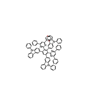 c1ccc(-c2cc(-c3ccccc3)nc(-c3c(-c4ccc5c(c4)c4ccccc4n5-c4ccccc4)cc(-c4ccc5c(c4)c4ccccc4n5-c4ccccc4)c(-c4nc(-c5ccccc5)cc(-c5ccccc5)n4)c3-c3ccc4c(c3)c3ccccc3n4-c3ccccc3)n2)cc1